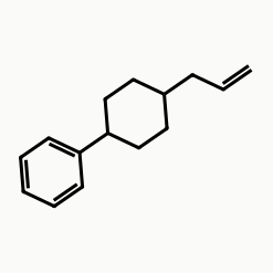 C=CCC1CCC(c2ccccc2)CC1